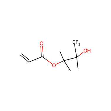 C=CC(=O)OC(C)(C)C(C)(O)C(F)(F)F